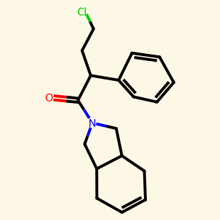 O=C(C(CCCl)c1ccccc1)N1CC2CC=CCC2C1